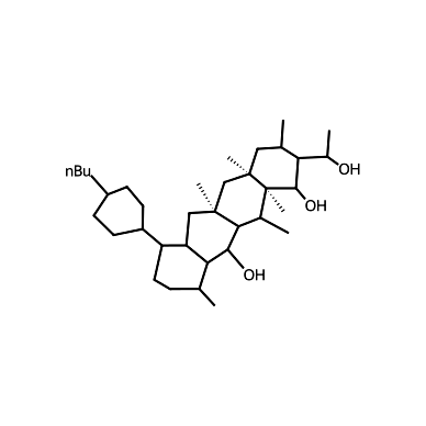 CCCCC1CCC(C2CCC(C)C3C(O)C4C(C)[C@]5(C)C(O)C(C(C)O)C(C)C[C@]5(C)C[C@]4(C)CC23)CC1